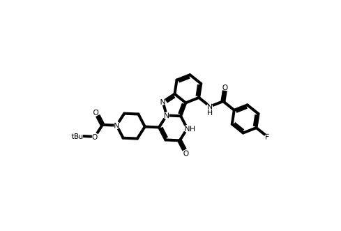 CC(C)(C)OC(=O)N1CCC(c2cc(=O)[nH]c3c4c(NC(=O)c5ccc(F)cc5)cccc4nn23)CC1